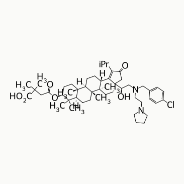 CC(C)C1=C2[C@H]3CC[C@@H]4[C@@]5(C)CC[C@H](OC(=O)CC(C)(C)C(=O)O)C(C)(C)[C@@H]5CC[C@@]4(C)[C@]3(C)CC[C@@]2([C@H](O)CN(CCN2CCCC2)Cc2ccc(Cl)cc2)CC1=O